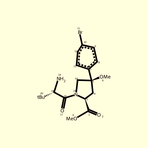 COC(=O)[C@@H]1C[C@@](OC)(c2ccc(Br)cc2)CN1C(=O)[C@@H](N)C(C)(C)C